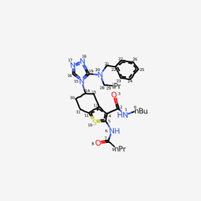 CCCCNC(=O)c1c(NC(=O)CCC)sc2c1CC(n1cnnc1N(Cc1ccccc1)CC(C)C)CC2